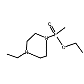 CCOP(C)(=O)N1CCN(CC)CC1